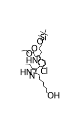 CCOC(=O)c1[nH]c2c(-c3c(CCCCCCO)n[nH]c3CC)c(Cl)ccc2c1CCCO[Si](C)(C)C(C)(C)C